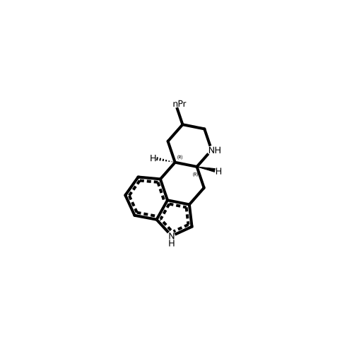 CCCC1CN[C@@H]2Cc3c[nH]c4cccc(c34)[C@H]2C1